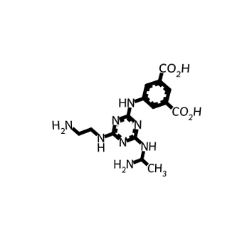 CC(N)Nc1nc(NCCN)nc(Nc2cc(C(=O)O)cc(C(=O)O)c2)n1